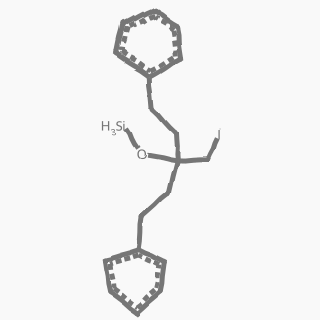 [SiH3]OC(CI)(CCc1ccccc1)CCc1ccccc1